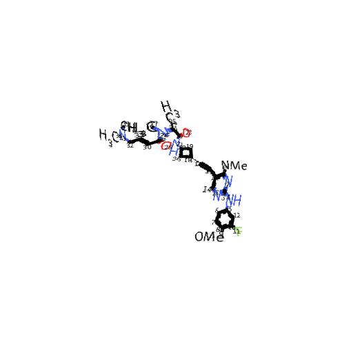 CNc1nc(Nc2ccc(OC)c(F)c2)ncc1C#C[C@H]1C[C@@H](NC(=O)[C@H](C)N(C)C(=O)/C=C/CN(C)C)C1